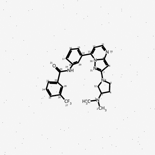 CN(C)C1CCN(c2cc3nccc(-c4cccc(NC(=O)c5cccc(C(F)(F)F)c5)c4)n3n2)C1